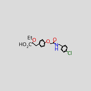 CCOC(Cc1ccc(OCC(=O)NCc2ccc(Cl)cc2)cc1)C(=O)O